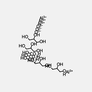 O=C(O)O.O=C(O)O.O=C(O)O.OCC(O)CO.OCC(O)CO.OCC(O)CO.OCC(O)CO.[Al+3].[Al+3].[Al+3].[Al+3].[O-2].[O-2].[O-2]